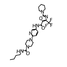 CCCCNC(=O)N1CCN(c2ccc(NC(=O)c3oc(N4CCCCC4)nc3C(F)(F)F)cn2)CC1